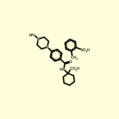 CCCN1CCN(c2ccc(C(=O)NC3(C(=O)O)CCCCC3)cc2)CC1.Cc1ccccc1S(=O)(=O)O